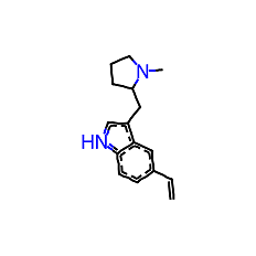 C=Cc1ccc2[nH]cc(CC3CCCN3C)c2c1